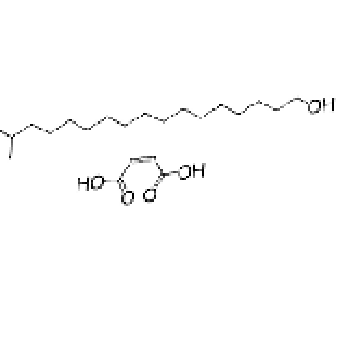 CC(C)CCCCCCCCCCCCCCCO.O=C(O)/C=C\C(=O)O